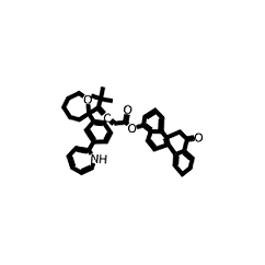 CC(C)(C)C(=C=CC(=O)Oc1cccc2c3c(ccc12)C1=CCCC=C1C(=O)C3)C1(c2cccc(C3=CC=CC=CN3)c2)CCCCCO1